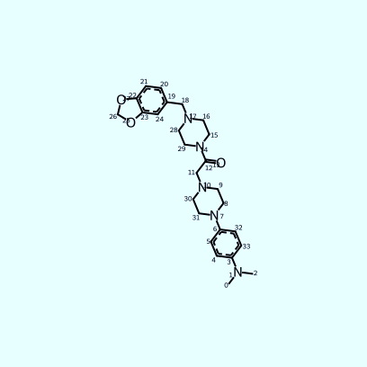 CN(C)c1ccc(N2CCN(CC(=O)N3CCN(Cc4ccc5c(c4)OCO5)CC3)CC2)cc1